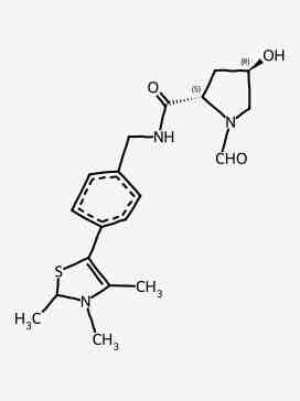 CC1=C(c2ccc(CNC(=O)[C@@H]3C[C@@H](O)CN3C=O)cc2)SC(C)N1C